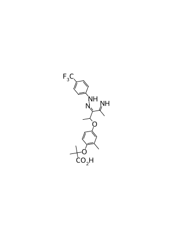 CC(=N)/C(=N\Nc1ccc(C(F)(F)F)cc1)C(C)Oc1ccc(OC(C)(C)C(=O)O)c(C)c1